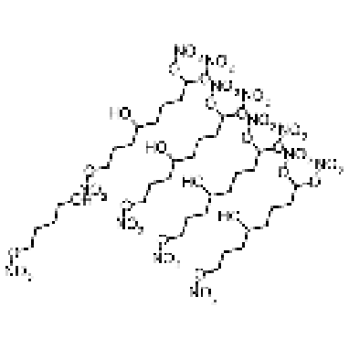 O=[N+]([O-])OCCCC(O)CCCC(O[N+](=O)[O-])O[N+](=O)[O-].O=[N+]([O-])OCCCC(O)CCCC(O[N+](=O)[O-])O[N+](=O)[O-].O=[N+]([O-])OCCCC(O)CCCC(O[N+](=O)[O-])O[N+](=O)[O-].O=[N+]([O-])OCCCC(O)CCCC(O[N+](=O)[O-])O[N+](=O)[O-].O=[N+]([O-])OCCCCO